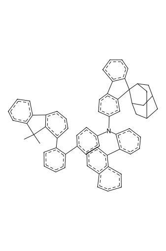 CC1(C)c2ccccc2-c2cccc(-c3ccccc3-c3ccc(N(c4ccc5c(c4)C4(c6ccccc6-5)C5CC6CC(C5)CC4C6)c4ccccc4-c4cccc5ccccc45)cc3)c21